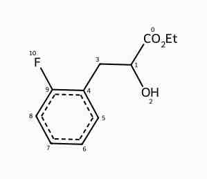 CCOC(=O)C(O)Cc1ccccc1F